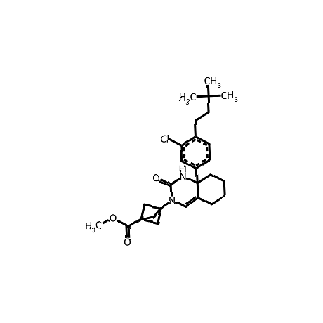 COC(=O)C12CC(N3C=C4CCCCC4(c4ccc(CCC(C)(C)C)c(Cl)c4)NC3=O)(C1)C2